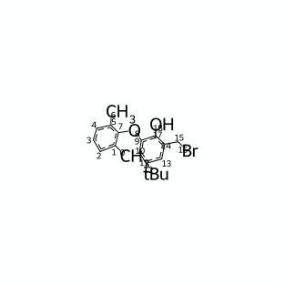 Cc1cccc(C)c1Oc1cc(C(C)(C)C)cc(CBr)c1O